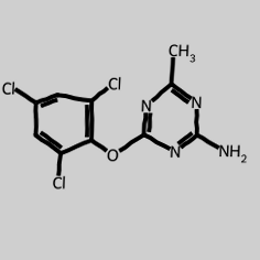 Cc1nc(N)nc(Oc2c(Cl)cc(Cl)cc2Cl)n1